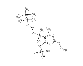 Cc1cc(CCO)cc(OP(=O)(O)O)c1C(C)(C)CCO[Si](C)(C)C(C)(C)C